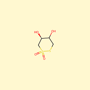 O=S1(=O)C[C@@H](O)C(O)CS1